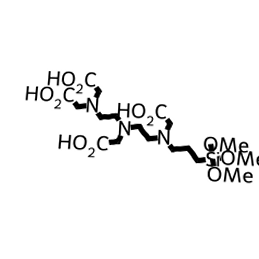 CO[Si](CCCN(CCN(CCN(CC(=O)O)CC(=O)O)CC(=O)O)CC(=O)O)(OC)OC